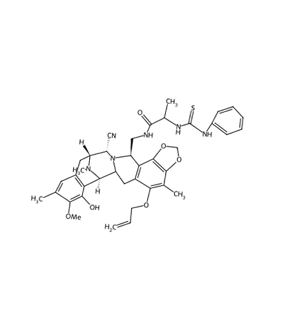 C=CCOc1c(C)c2c(c3c1CC1[C@H]4c5c(cc(C)c(OC)c5O)C[C@H]([C@H](C#N)N1[C@H]3CNC(=O)C(C)NC(=S)Nc1ccccc1)N4C)OCO2